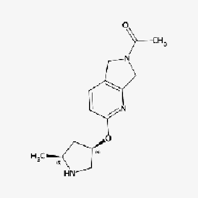 CC(=O)N1Cc2ccc(O[C@H]3CN[C@@H](C)C3)nc2C1